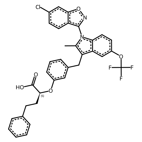 Cc1c(Cc2cccc(O[C@@H](CCc3ccccc3)C(=O)O)c2)c2cc(OC(F)(F)F)ccc2n1-c1noc2cc(Cl)ccc12